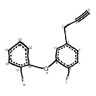 C#C[CH]c1ccc(F)c(Oc2ccccc2F)c1